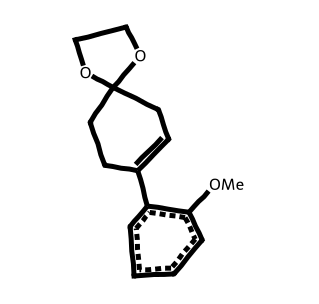 COc1ccccc1C1=CCC2(CC1)OCCO2